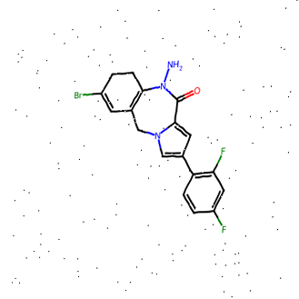 NN1C(=O)c2cc(-c3ccc(F)cc3F)cn2CC2=C1CCC(Br)=C2